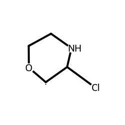 ClC1[CH]OCCN1